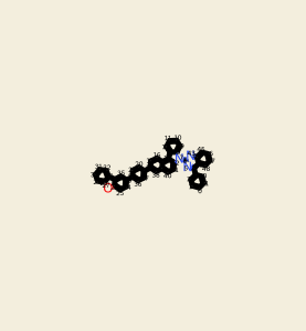 c1ccc(-c2nc(-n3c4ccccc4c4c5ccc(-c6ccc(-c7ccc8oc9ccccc9c8c7)cc6)cc5ccc43)nc3ccccc23)cc1